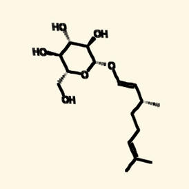 CC(C)=CCC[C@@H](C)C=CO[C@@H]1O[C@H](CO)[C@@H](O)[C@H](O)[C@H]1O